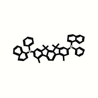 Cc1cc(N(c2ccccc2)c2cccc3ccccc23)cc2c1-c1ccc3c(c1C2(C)C)C(C)(C)c1cc(N(c2ccccc2)c2cccc4ccccc24)cc(C)c1-3